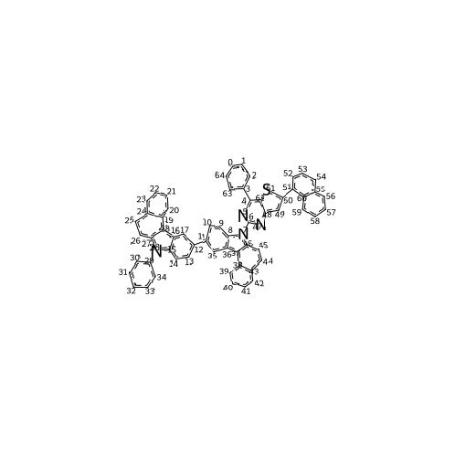 c1ccc(-c2nc(-n3c4ccc(-c5ccc6c(c5)c5c7ccccc7ccc5n6-c5ccccc5)cc4c4c5ccccc5ccc43)nc3cc(-c4cccc5ccccc45)sc23)cc1